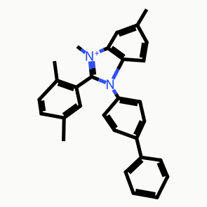 Cc1ccc(C)c(-c2n(-c3ccc(-c4ccccc4)cc3)c3ccc(C)cc3[n+]2C)c1